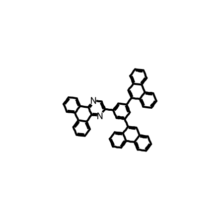 c1ccc2c(c1)cc(-c1cc(-c3cnc4c5ccccc5c5ccccc5c4n3)cc(-c3cc4ccccc4c4ccccc34)c1)c1ccccc12